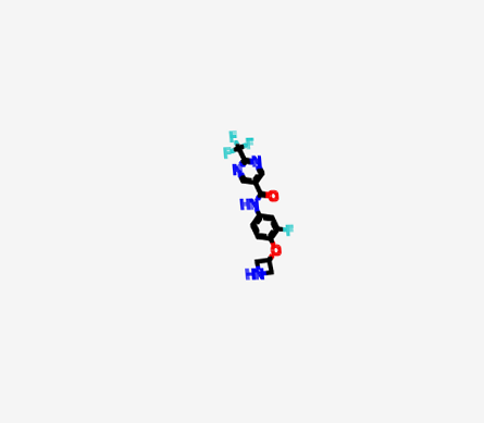 O=C(Nc1ccc(OC2CNC2)c(F)c1)c1cnc(C(F)(F)F)nc1